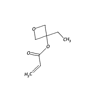 C=CC(=O)OC1(CC)COC1